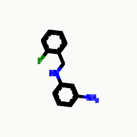 Nc1cccc(NCc2ccccc2F)c1